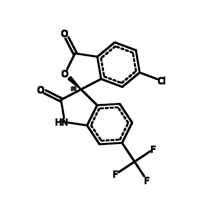 O=C1O[C@@]2(C(=O)Nc3cc(C(F)(F)F)ccc32)c2cc(Cl)ccc21